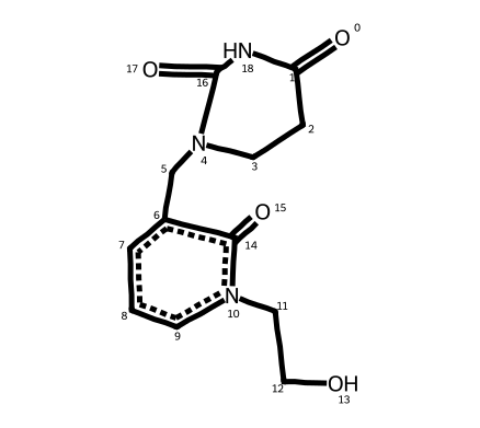 O=C1CCN(Cc2cccn(CCO)c2=O)C(=O)N1